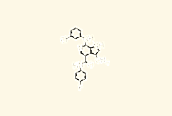 Cc1c[nH]c2c(Nc3cccc(Cl)c3)ncc(C(=O)Nc3ccc(F)cc3)c12